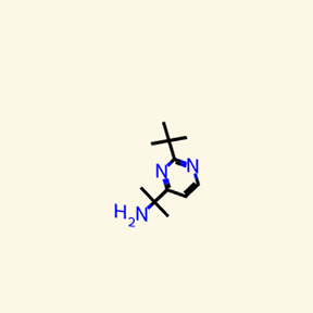 CC(C)(C)c1nccc(C(C)(C)N)n1